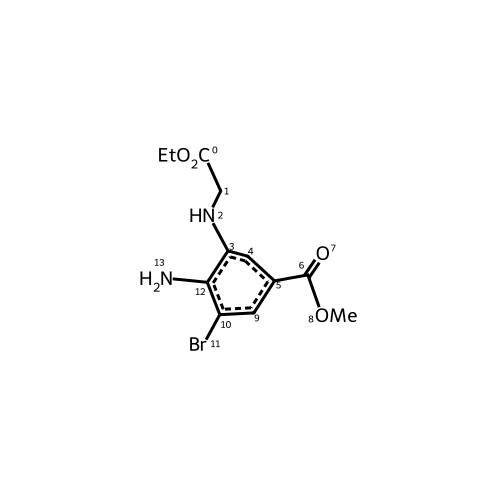 CCOC(=O)CNc1cc(C(=O)OC)cc(Br)c1N